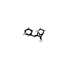 O=C1C(=Cc2cccnc2)N2CCC1C2